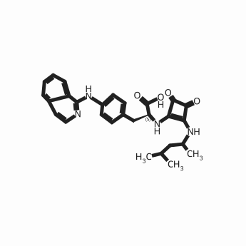 CC(C)CC(C)Nc1c(N[C@@H](Cc2ccc(Nc3nccc4ccccc34)cc2)C(=O)O)c(=O)c1=O